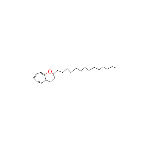 CCCCCCCCCCCCCCC1CCC2C=CC=CC=C2O1